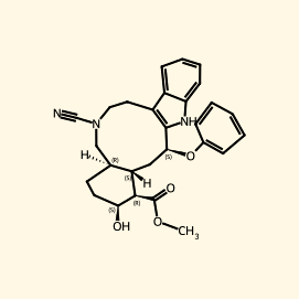 COC(=O)[C@@H]1[C@H]2C[C@H](Oc3ccccc3)c3[nH]c4ccccc4c3CCN(C#N)C[C@@H]2CC[C@@H]1O